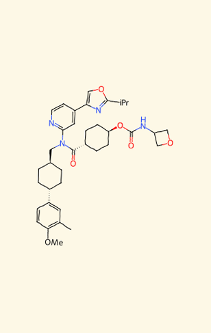 COc1ccc([C@H]2CC[C@H](CN(c3cc(-c4coc(C(C)C)n4)ccn3)C(=O)[C@H]3CC[C@H](OC(=O)NC4COC4)CC3)CC2)cc1C